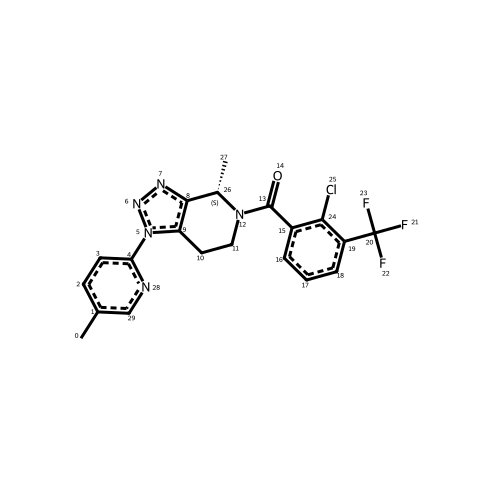 Cc1ccc(-n2nnc3c2CCN(C(=O)c2cccc(C(F)(F)F)c2Cl)[C@H]3C)nc1